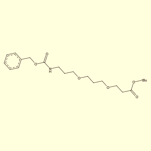 CC(C)(C)OC(=O)CCOCCCOCCCNC(=O)OCc1ccccc1